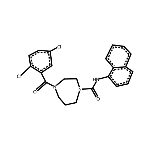 O=C(Nc1cccc2ccccc12)N1CCCN(C(=O)c2cc(Cl)ccc2Cl)CC1